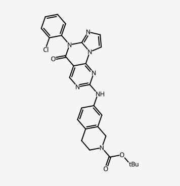 CC(C)(C)OC(=O)N1CCc2ccc(Nc3ncc4c(=O)n(-c5ccccc5Cl)c5nccn5c4n3)cc2C1